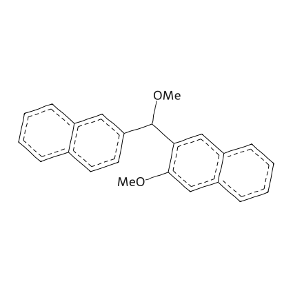 COc1cc2ccccc2cc1C(OC)c1ccc2ccccc2c1